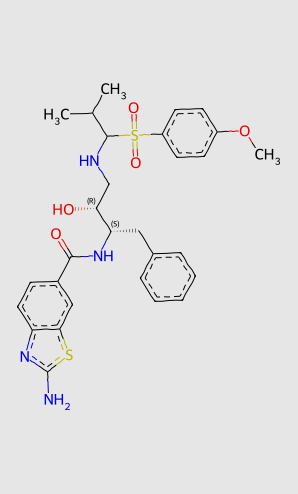 COc1ccc(S(=O)(=O)C(NC[C@@H](O)[C@H](Cc2ccccc2)NC(=O)c2ccc3nc(N)sc3c2)C(C)C)cc1